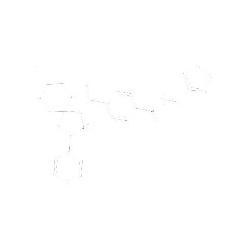 CCCC(c1ccc(C(=O)NCc2nn[nH]n2)cc1)N1C(=O)C(c2cccc(F)c2)=NC12CCC(C(C)(C)C)CC2